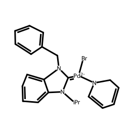 CC(C)n1[c](=[Pd-2]([Br])[N]2C=CC=CC2)n(Cc2ccccc2)c2ccccc21